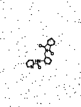 O=C(Nc1ccccc1CN1C(=O)c2ccccc2C1=O)c1ccccn1